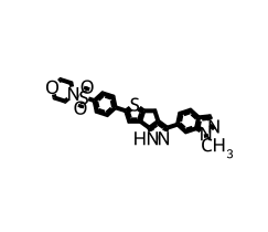 Cn1ncc2ccc(-c3n[nH]c4c3Cc3sc(-c5ccc(S(=O)(=O)N6CCOCC6)cc5)cc3-4)cc21